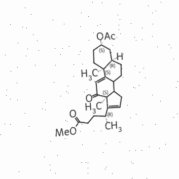 COC(=O)CC[C@@H](C)C1=CCC2C3CC[C@@H]4C[C@@H](OC(C)=O)CC[C@]4(C)C3=CC(=O)[C@]12C